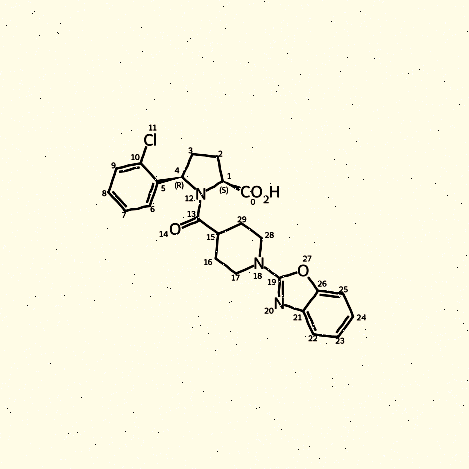 O=C(O)[C@@H]1CC[C@H](c2ccccc2Cl)N1C(=O)C1CCN(c2nc3ccccc3o2)CC1